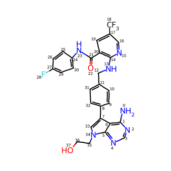 Nc1ncnc2c1c(-c1ccc(CNc3ncc(C(F)(F)F)cc3C(=O)Nc3ccc(F)cc3)cc1)cn2CCO